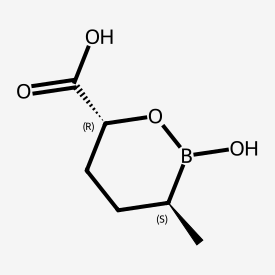 C[C@H]1CC[C@H](C(=O)O)OB1O